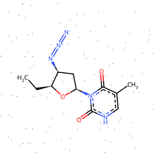 [CH2]C[C@@H]1O[C@H](n2c(=O)[nH]cc(C)c2=O)C[C@@H]1N=[N+]=[N-]